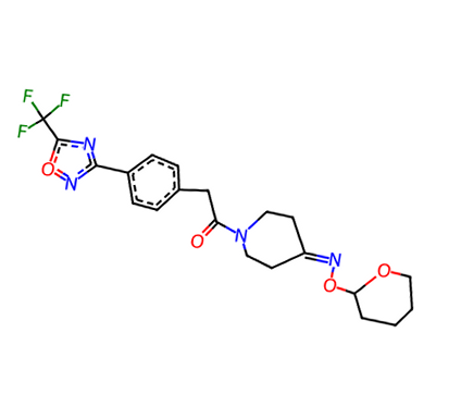 O=C(Cc1ccc(-c2noc(C(F)(F)F)n2)cc1)N1CCC(=NOC2CCCCO2)CC1